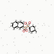 Cc1ccc(S(=O)(=O)S(=O)(=O)c2ccc3ccccc3c2)cc1